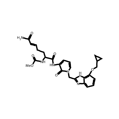 COC(=O)NC(CCC=CC(N)=O)C(=O)Nc1cccn(Cc2nc3cccc(OCC4CC4)c3[nH]2)c1=O